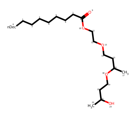 CCCCCCCCCCCCCCCCCC(=O)OCCOCCC(C)OCCC(C)O